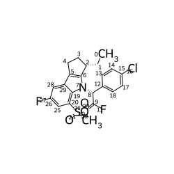 CC[C@H]1CCc2c1n([C@@H](C(=O)F)c1ccc(Cl)cc1)c1c(S(C)(=O)=O)cc(F)cc21